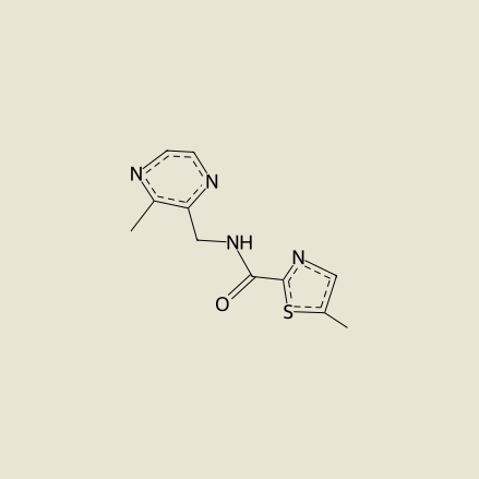 Cc1cnc(C(=O)NCc2nccnc2C)s1